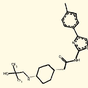 Cc1ccc(-c2csc(NC(=O)C[C@H]3CC[C@@H](NCC(O)(C(F)(F)F)C(F)(F)F)CC3)n2)cc1